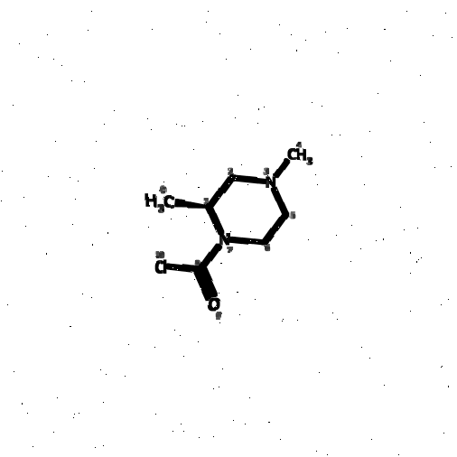 C[C@H]1CN(C)CCN1C(=O)Cl